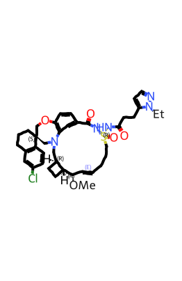 CCn1nccc1CCC(=O)N[S@@]1(=O)=NC(=O)c2ccc3c(c2)N(C[C@@H]2CC[C@H]2[C@@H](OC)/C=C/CCC1)C[C@@]1(CCCc2cc(Cl)ccc21)CO3